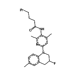 Cc1ccc2c(c1)CC(F)CN2c1cc(C)c(NC(=O)CCCC(C)C)c(C)n1